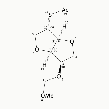 COCO[C@@H]1CO[C@H]2[C@@H]1OC[C@@H]2SC(C)=O